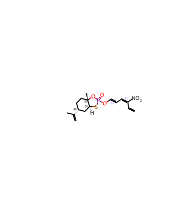 C=C/C(=C\C=C\OP1(=O)O[C@@]2(C)CC[C@@H](C(=C)C)C[C@@H]2S1)[N+](=O)[O-]